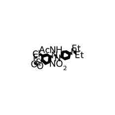 CCN(CC)c1ccc(N=Nc2cc(Cl)c(S(=O)(=O)F)cc2[N+](=O)[O-])c(NC(C)=O)c1